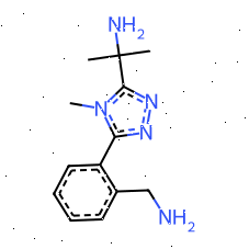 Cn1c(-c2ccccc2CN)nnc1C(C)(C)N